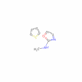 CNc1ncco1.c1ccsc1